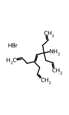 Br.C=CCC(=CC(N)(CC=C)CC=C)CC=C